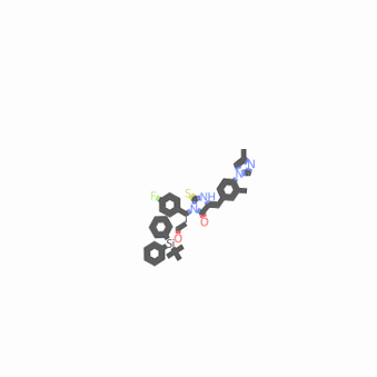 Cc1cn(-c2ccc(/C=C3\NC(=S)N([C@H](CCO[Si](c4ccccc4)(c4ccccc4)C(C)(C)C)c4ccc(F)cc4)C3=O)cc2C)cn1